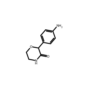 Nc1ccc(C2OCCNC2=O)cc1